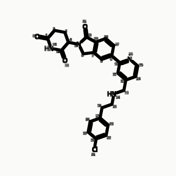 O=C1CCC(N2Cc3cc(-c4cc(CNCCc5ccc(Cl)cc5)ccn4)ccc3C2=O)C(=O)N1